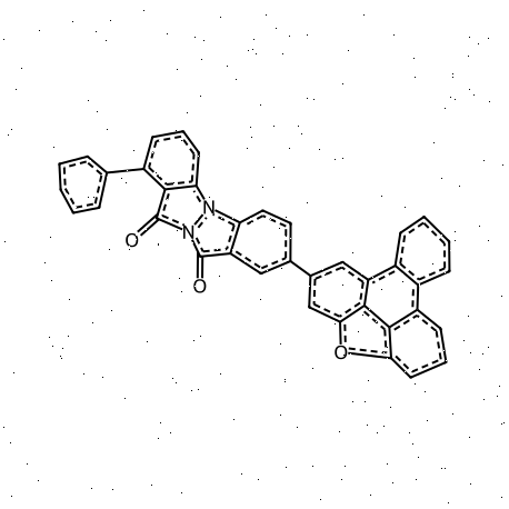 O=c1c2cc(-c3cc4oc5cccc6c7ccccc7c(c3)c4c56)ccc2n2c3cccc(-c4ccccc4)c3c(=O)n12